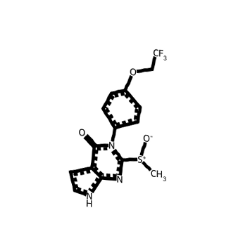 C[S+]([O-])c1nc2[nH]ccc2c(=O)n1-c1ccc(OCC(F)(F)F)cc1